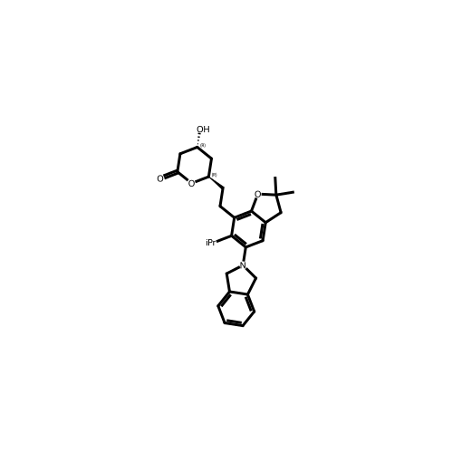 CC(C)c1c(N2Cc3ccccc3C2)cc2c(c1CC[C@@H]1C[C@@H](O)CC(=O)O1)OC(C)(C)C2